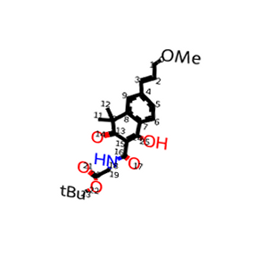 COC/C=C/c1ccc2c(c1)C(C)(C)C(=O)C(C(=O)NCC(=O)OC(C)(C)C)=C2O